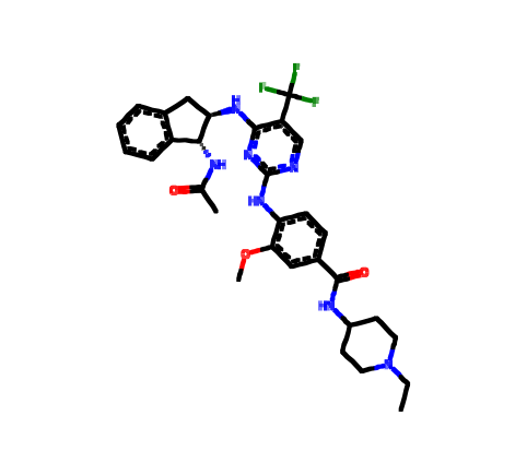 CCN1CCC(NC(=O)c2ccc(Nc3ncc(C(F)(F)F)c(N[C@@H]4Cc5ccccc5[C@H]4NC(C)=O)n3)c(OC)c2)CC1